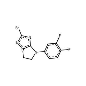 Fc1ccc(N2CCn3nc(Br)nc32)cc1F